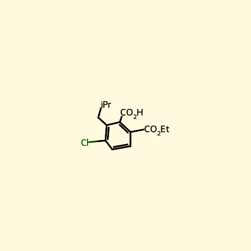 CCOC(=O)c1ccc(Cl)c(CC(C)C)c1C(=O)O